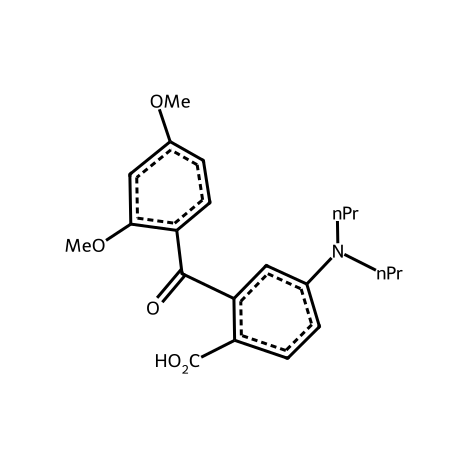 CCCN(CCC)c1ccc(C(=O)O)c(C(=O)c2ccc(OC)cc2OC)c1